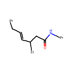 CCC(/C=C/CC(C)C)CC(=O)NC(C)C